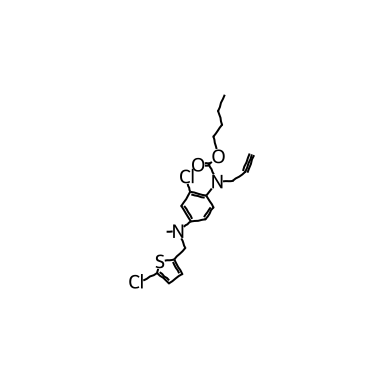 C#CCN(C(=O)OCCCC)c1ccc(N(C)Cc2ccc(Cl)s2)cc1Cl